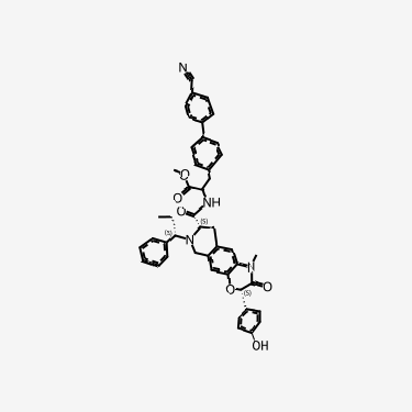 CC[C@@H](c1ccccc1)N1Cc2cc3c(cc2C[C@H]1C(=O)NC(Cc1ccc(-c2ccc(C#N)cc2)cc1)C(=O)OC)N(C)C(=O)[C@H](c1ccc(O)cc1)O3